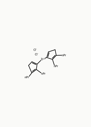 CCCC1=C(CCC)[C]([Zr+2][C]2=CCC(CCC)=C2CCC)=CC1.[Cl-].[Cl-]